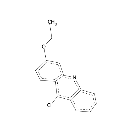 CCOc1ccc2c(Cl)c3ccccc3nc2c1